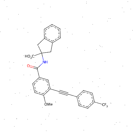 COc1ccc(C(=O)NC2(C(=O)O)Cc3ccccc3C2)cc1C#Cc1ccc(C(F)(F)F)cc1